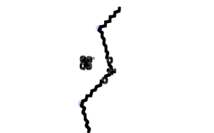 CCCCCCCC/C=C\CCCCCCCCOCC[N+](C)(C)CCOCCCCCCCC/C=C\CCCCCCCC.COS(=O)(=O)[O-]